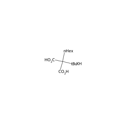 CCCCCCC(C(=O)O)(C(=O)O)C(C)(C)C.[KH]